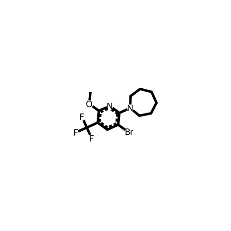 COc1nc(N2CCCCCC2)c(Br)cc1C(F)(F)F